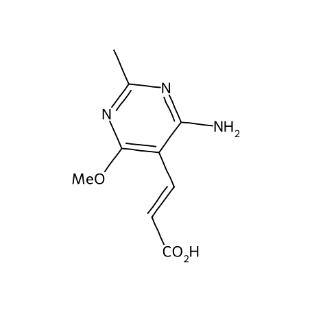 COc1nc(C)nc(N)c1C=CC(=O)O